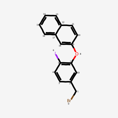 BrCc1ccc(I)c(Oc2ccc3ccccc3c2)c1